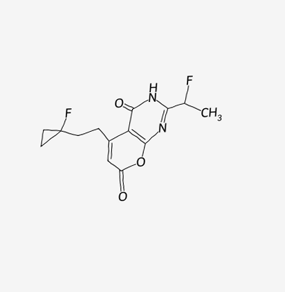 CC(F)c1nc2oc(=O)cc(CCC3(F)CC3)c2c(=O)[nH]1